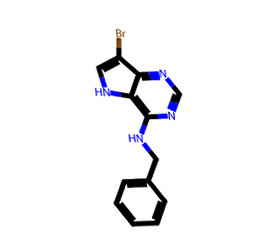 Brc1c[nH]c2c(NCc3ccccc3)ncnc12